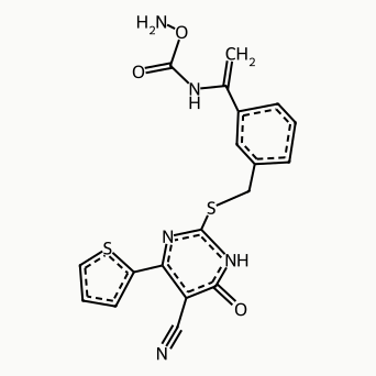 C=C(NC(=O)ON)c1cccc(CSc2nc(-c3cccs3)c(C#N)c(=O)[nH]2)c1